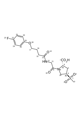 CS(=O)(=O)[C@@H]1C[C@@H](C(=O)O)N(C(=O)CNC(=O)CCCOc2ccc(F)cc2)C1